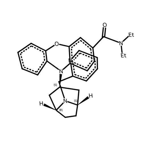 CCN(CC)C(=O)c1ccc2c(c1)Oc1ccccc1N2[C@@H]1C[C@H]2CC[C@@H](C1)N2Cc1ccccn1